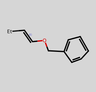 CC/C=C/OCc1ccccc1